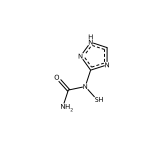 NC(=O)N(S)c1nc[nH]n1